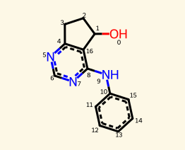 OC1CCc2ncnc(Nc3ccccc3)c21